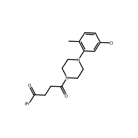 Cc1ccc(Cl)cc1N1CCN(C(=O)CCC(=O)C(C)C)CC1